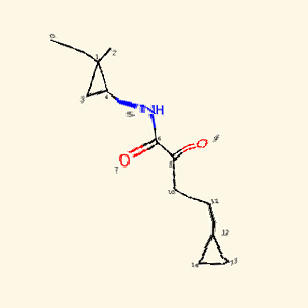 CC1(C)C[C@@H]1NC(=O)C(=O)CCC1CC1